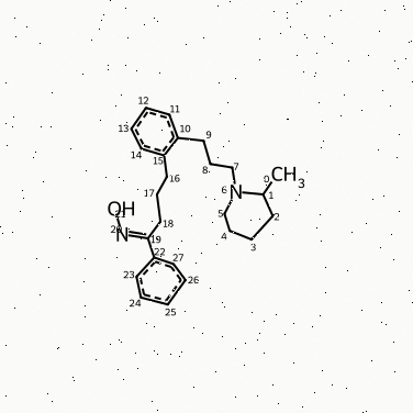 CC1CCCCN1CCCc1ccccc1CCCC(=NO)c1ccccc1